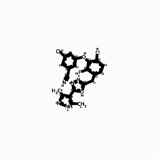 Cc1n[nH]c(C)c1-c1nnc(Cc2ccc(Cl)c(Oc3cc(Cl)cc(C#N)c3)c2F)o1